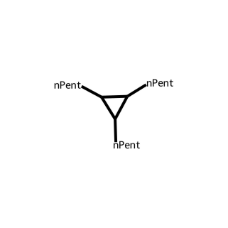 CCCCCC1C(CCCCC)C1CCCCC